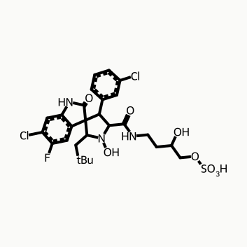 CC(C)(C)CC1N(O)C(C(=O)NCCC(O)COS(=O)(=O)O)C(c2cccc(Cl)c2)C12C(=O)Nc1cc(Cl)c(F)cc12